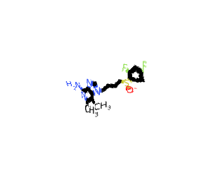 Cc1nc(N)c2ncn(CCCC[S+]([O-])c3ccc(F)cc3F)c2c1C